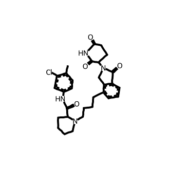 Cc1ccc(NC(=O)C2CCCCN2CCCCc2cccc3c2CN(C2CCC(=O)NC2=O)C3=O)cc1Cl